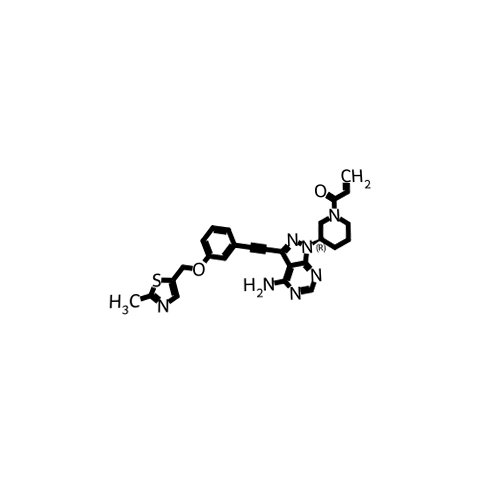 C=CC(=O)N1CCC[C@@H](n2nc(C#Cc3cccc(OCc4cnc(C)s4)c3)c3c(N)ncnc32)C1